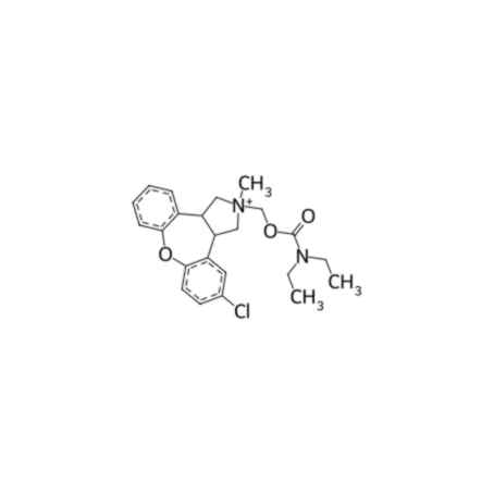 CCN(CC)C(=O)OC[N+]1(C)CC2c3ccccc3Oc3ccc(Cl)cc3C2C1